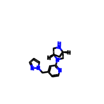 c1cnn(Cc2ccnc(N3C[C@@H]4C[C@H]3CN4)c2)c1